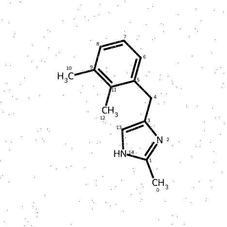 Cc1nc(Cc2cccc(C)c2C)c[nH]1